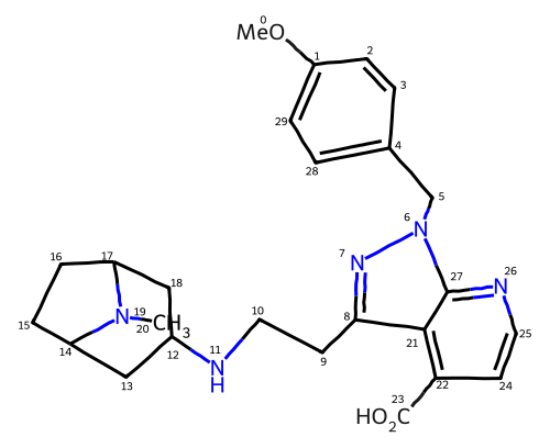 COc1ccc(Cn2nc(CCNC3CC4CCC(C3)N4C)c3c(C(=O)O)ccnc32)cc1